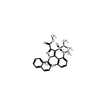 COC(=O)c1nn(-c2cccc3ccccc23)c(-c2c(OC)cccc2OC)c1S(=O)(=O)N(C)C